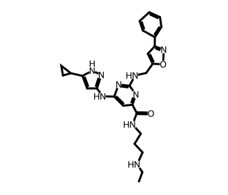 CCNCCCNC(=O)c1cc(Nc2cc(C3CC3)[nH]n2)nc(NCc2cc(-c3ccccc3)no2)n1